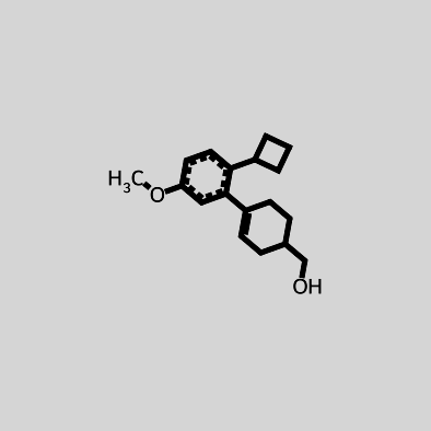 COc1ccc(C2CCC2)c(C2=CCC(CO)CC2)c1